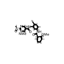 CNc1nc([S+](C)[O-])ncc1C(=O)Nc1cc(NC(=O)c2ccccc2OC)ccc1C